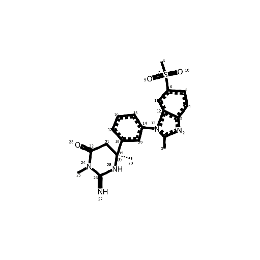 Cc1nc2ccc(S(C)(=O)=O)cc2n1-c1cccc([C@]2(C)CC(=O)N(C)C(=N)N2)c1